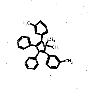 Cc1cccc(C2=C(c3ccccc3)C(c3ccccc3)=C(c3cccc(C)c3)[Si]2(C)C)c1